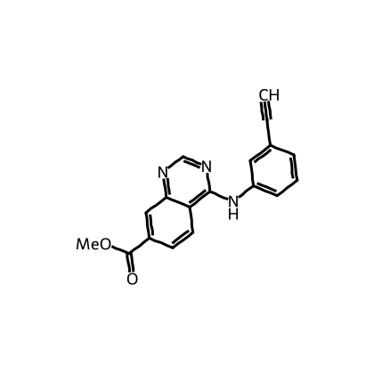 C#Cc1cccc(Nc2ncnc3cc(C(=O)OC)ccc23)c1